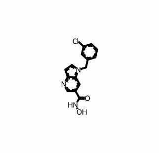 O=C(NO)c1cnc2ccn(Cc3cccc(Cl)c3)c2c1